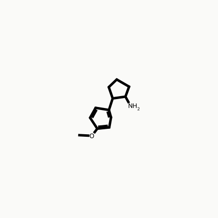 COc1ccc(C2CCCC2N)cc1